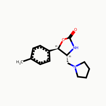 Cc1ccc([C@H]2OC(=O)N[C@@H]2CN2CCCC2)cc1